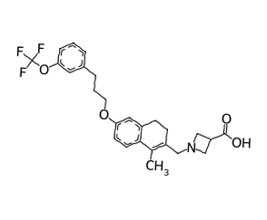 CC1=C(CN2CC(C(=O)O)C2)CCc2cc(OCCCc3cccc(OC(F)(F)F)c3)ccc21